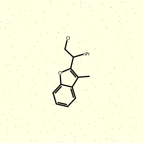 CCCC(CCl)c1oc2ccccc2c1C